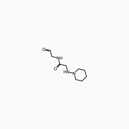 O=[C]CNC(=O)CNN1CCCCC1